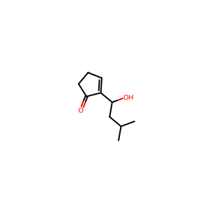 CC(C)CC(O)C1=CCCC1=O